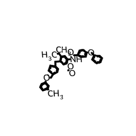 Cc1cccc(OCc2ccc(Cc3cc(OC=O)c(NC(=O)c4ccc(Oc5ccccc5)cc4)cc3C(C)C)cc2)c1